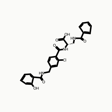 O=C(NC[C@H](NC(=O)c1ccc(CNC(=O)c2ccccc2O)cc1Cl)C(=O)O)c1ccccc1